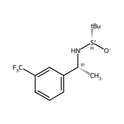 C[C@@H](N[S@@+]([O-])C(C)(C)C)c1cccc(C(F)(F)F)c1